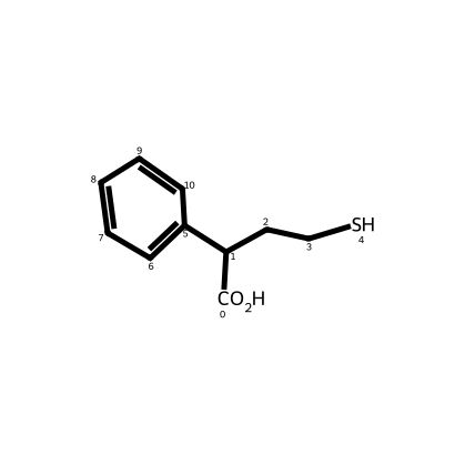 O=C(O)C(CCS)c1ccccc1